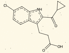 O=C(O)CCc1c(C(=O)C2CC2)[nH]c2cc(Cl)ccc12